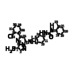 Bc1cnn2c(NCc3cccc(NC(=O)Nc4ccccc4C)c3)cc(-c3ccccc3Cl)nc12